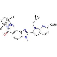 COc1ccc2cc(-c3nc4cc(C(=O)N5C[C@H]6CC[C@@H]5[C@@H]6N)ccc4n3C)n(CC3CC3)c2n1